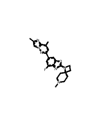 Cc1cn2nc(-c3cc(F)c4nc(N5CCC56CCN(C)CC6)oc4c3)cc(C)c2n1